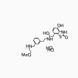 COC[C@H](C)NCc1cccc(CCNC(O)Cc2ccc(O)c3[nH]c(=O)sc23)c1.Cl.Cl